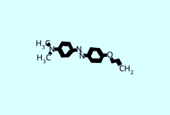 C=CCOc1ccc(N=Nc2ccc(N(C)C)cc2)cc1